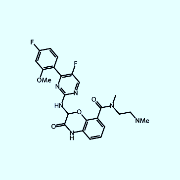 CNCCN(C)C(=O)c1cccc2c1OC(Nc1ncc(F)c(-c3ccc(F)cc3OC)n1)C(=O)N2